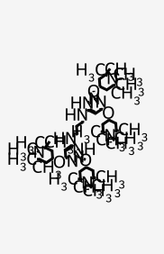 CN1C(C)(C)CC(OC2=NN(OC3CC(C)(C)N(C)C(C)(C)C3)NC(NCCCNC3=CC(OC4CC(C)(C)N(C)C(C)(C)C4)=NN(OC4CC(C)(C)N(C)C(C)(C)C4)N3)=C2)CC1(C)C